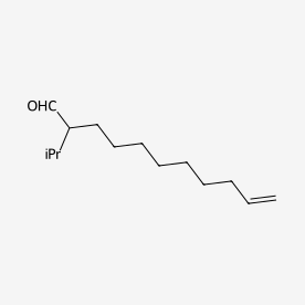 C=CCCCCCCCC(C=O)C(C)C